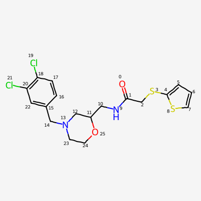 O=C(CSc1cccs1)NCC1CN(Cc2ccc(Cl)c(Cl)c2)CCO1